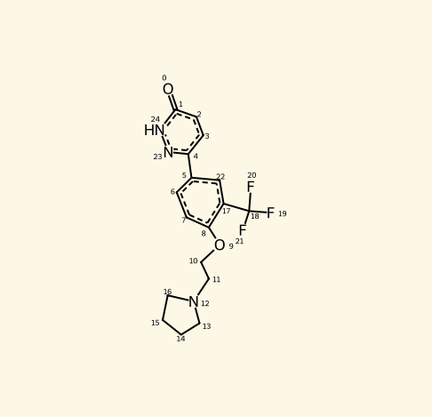 O=c1ccc(-c2ccc(OCCN3CCCC3)c(C(F)(F)F)c2)n[nH]1